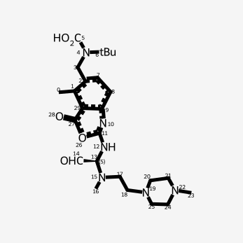 Cc1c(CN(C(=O)O)C(C)(C)C)ccc2nc(N[C@H](C=O)N(C)CCN3CCN(C)CC3)oc(=O)c12